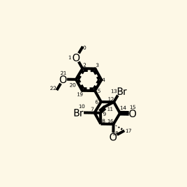 COc1ccc(C2CC3C(Br)=CC2(Br)C(=O)[C@]32CO2)cc1OC